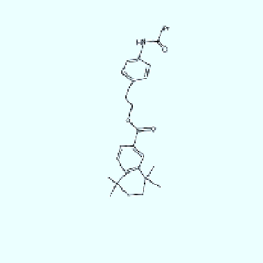 CC(C)C(=O)Nc1ccc(CCOC(=O)c2ccc3c(c2)C(C)(C)CCC3(C)C)cc1